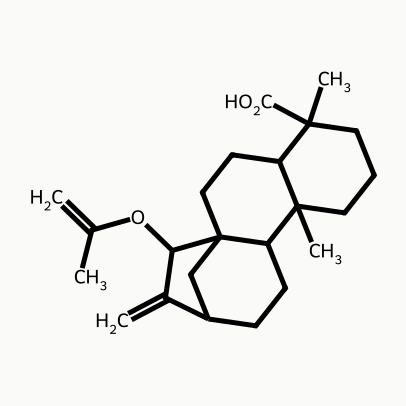 C=C(C)OC1C(=C)C2CCC3C4(C)CCCC(C)(C(=O)O)C4CCC13C2